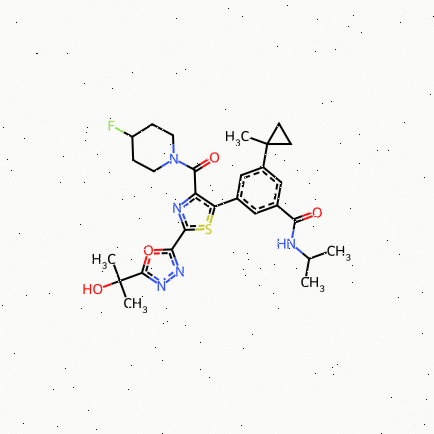 CC(C)NC(=O)c1cc(-c2sc(-c3nnc(C(C)(C)O)o3)nc2C(=O)N2CCC(F)CC2)cc(C2(C)CC2)c1